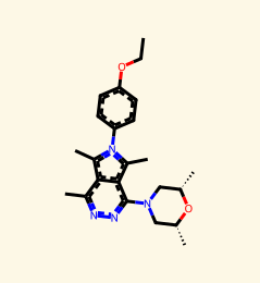 CCOc1ccc(-n2c(C)c3c(C)nnc(N4C[C@@H](C)O[C@@H](C)C4)c3c2C)cc1